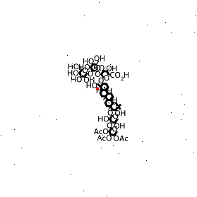 CC(=O)O[C@@H]1[C@@H](OC(C)=O)[C@H](O[C@@H]2[C@@H](O)[C@H](O[C@@H]3[C@H](O)C(C)(C)C[C@H]4C5=CC[C@@H]6[C@@]7(C)CC[C@H](OC8O[C@H](C(=O)O)[C@@H](O)[C@H](O)[C@H]8O[C@@H]8O[C@H](CO)[C@H](O)[C@H](O)[C@H]8O[C@@H]8O[C@H](CO)[C@@H](O)[C@H](O)[C@H]8O)[C@](C)(CO)[C@@H]7CC[C@@]6(C)[C@]5(C)CC[C@@]34C)OC[C@@H]2O)OC[C@H]1OC(C)=O